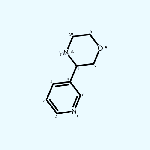 [c]1ncccc1C1COCCN1